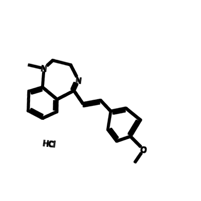 COc1ccc(C=CC2=NCCN(C)c3ccccc32)cc1.Cl